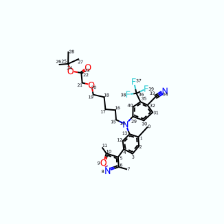 Cc1ccc(-c2c(C)noc2C)cc1N(CCCCCOCC(=O)OC(C)(C)C)c1ccc(C#N)c(C(F)(F)F)c1